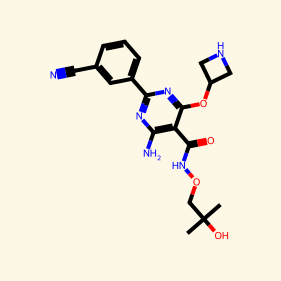 CC(C)(O)CONC(=O)c1c(N)nc(-c2cccc(C#N)c2)nc1OC1CNC1